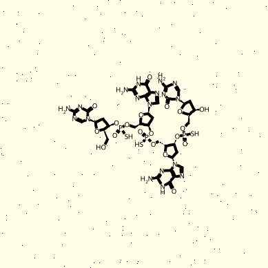 Nc1ncn([C@H]2C[C@@H](O)[C@@H](COP(=O)(S)O[C@@H]3C[C@H](n4cnc5c(=O)[nH]c(N)nc54)O[C@@H]3COP(=O)(S)O[C@@H]3C[C@H](n4cnc5c(=O)[nH]c(N)nc54)O[C@@H]3COP(=O)(S)O[C@@H]3C[C@H](n4cnc(N)nc4=O)O[C@@H]3CO)O2)c(=O)n1